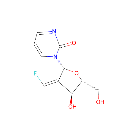 O=c1ncccn1[C@@H]1O[C@H](CO)[C@@H](O)/C1=C/F